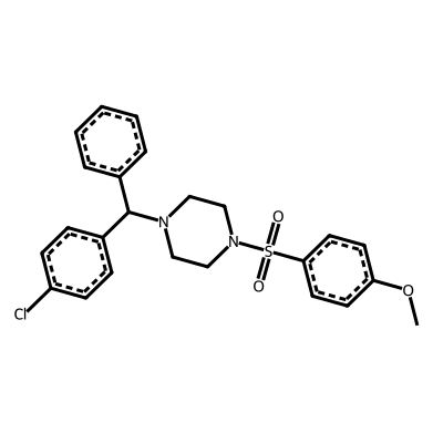 COc1ccc(S(=O)(=O)N2CCN(C(c3ccccc3)c3ccc(Cl)cc3)CC2)cc1